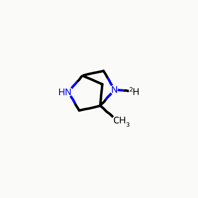 [2H]N1CC2CC1(C)CN2